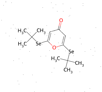 CC(C)(C)[Se]c1cc(=O)cc([Se]C(C)(C)C)o1